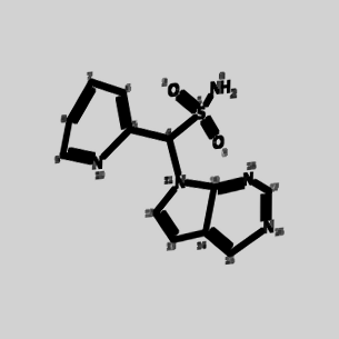 NS(=O)(=O)C(c1ccccn1)n1ccc2cncnc21